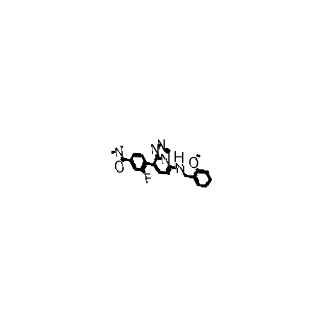 COC1=CCCC=C1CNc1ccc(-c2ccc(C(=O)N(C)C)cc2F)c2nncn12